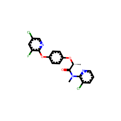 C[C@@H](Oc1ccc(Oc2ncc(Cl)cc2F)cc1)C(=O)N(C)c1ncccc1Cl